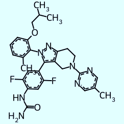 Cc1cnc(N2CCc3nn(-c4c(C)cccc4OCC(C)C)c(-c4cc(F)c(NC(N)=O)cc4F)c3C2)nc1